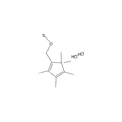 CC1=C(C)C(C)(C)C(C[O][Ti])=C1C.Cl.Cl